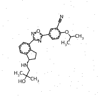 CC(C)Oc1ccc(-c2nc(-c3cccc4c3CC[C@H]4NCC(C)(C)O)no2)cc1C#N